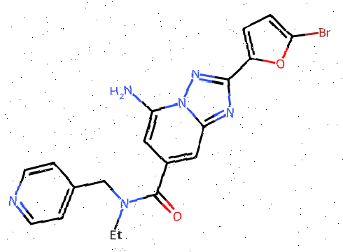 CCN(Cc1ccncc1)C(=O)c1cc(N)n2nc(-c3ccc(Br)o3)nc2c1